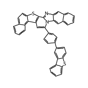 c1ccc2cc3c(cc2c1)nc1c2sc4ccc5ccccc5c4c2cc(-c2ccc(-c4ccc5sc6ccccc6c5c4)cc2)n31